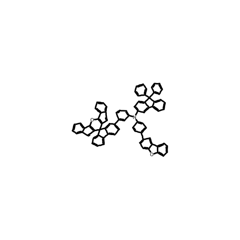 c1ccc(C2(c3ccccc3)c3ccccc3-c3cc(N(c4ccc(-c5ccc6oc7ccccc7c6c5)cc4)c4cccc(-c5ccc6c(c5)C5(c7ccccc7-6)c6ccc7ccccc7c6Oc6c5ccc5ccccc65)c4)ccc32)cc1